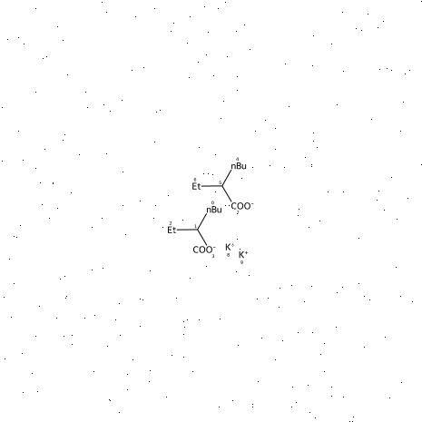 CCCCC(CC)C(=O)[O-].CCCCC(CC)C(=O)[O-].[K+].[K+]